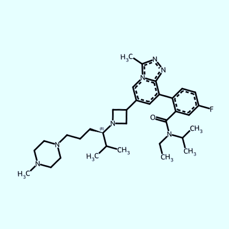 CCN(C(=O)c1cc(F)ccc1-c1cc(C2CN([C@H](CCCN3CCN(C)CC3)C(C)C)C2)cn2c(C)nnc12)C(C)C